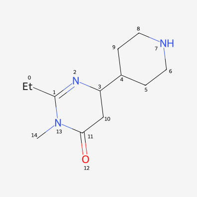 CCC1=NC(C2CCNCC2)CC(=O)N1C